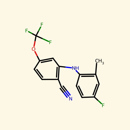 Cc1cc(F)ccc1Nc1cc(OC(F)(F)F)ccc1C#N